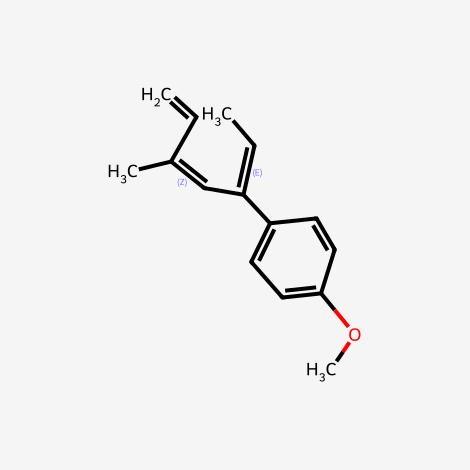 C=C/C(C)=C\C(=C/C)c1ccc(OC)cc1